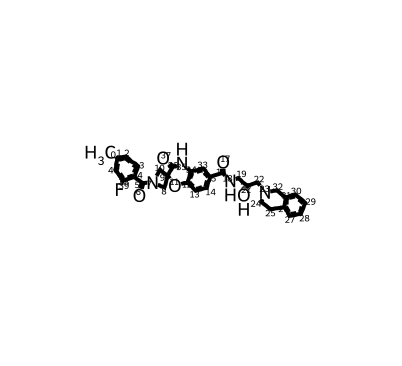 Cc1ccc(C(=O)N2CC3(C2)Oc2ccc(C(=O)NC[C@H](O)CN4CCc5ccccc5C4)cc2NC3=O)c(F)c1